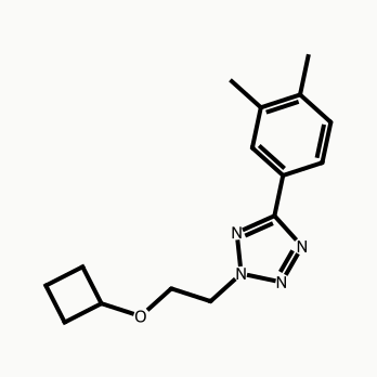 Cc1ccc(-c2nnn(CCOC3CCC3)n2)cc1C